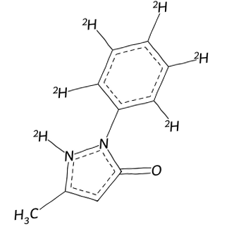 [2H]c1c([2H])c([2H])c(-n2c(=O)cc(C)n2[2H])c([2H])c1[2H]